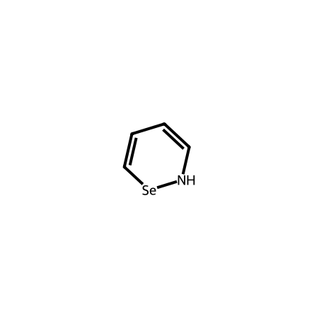 C1=CN[Se]C=C1